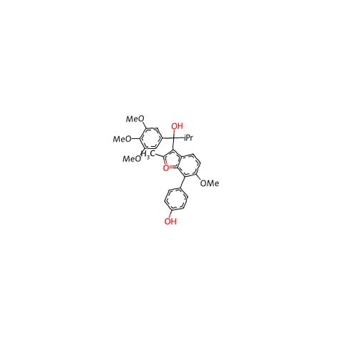 COc1cc(C(O)(c2c(C)oc3c(-c4ccc(O)cc4)c(OC)ccc23)C(C)C)cc(OC)c1OC